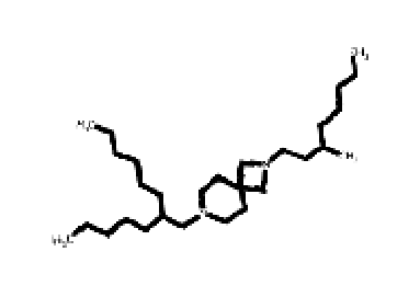 CCCCCCC(CCCCC)CN1CCC2(CC1)CN(CCC(C)CCCCC)C2